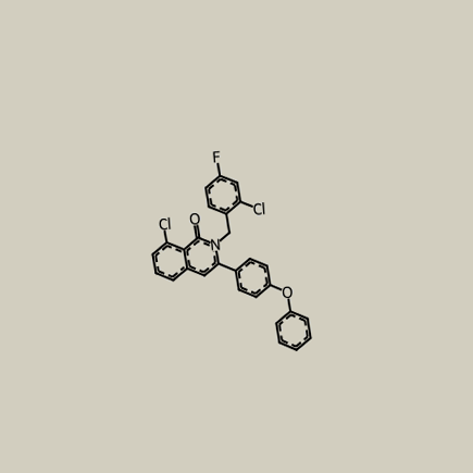 O=c1c2c(Cl)cccc2cc(-c2ccc(Oc3ccccc3)cc2)n1Cc1ccc(F)cc1Cl